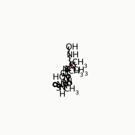 Cc1c(Nc2nc3ccccc3s2)nnc2c1CCCN2c1ccc(-c2cnn(CC34CC5(C)CC(C)(CC(CCCNCCCO)(C5)C3)C4)c2C)c(C(=O)O)n1